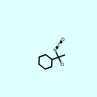 CC(Cl)(N=C=O)C1CCCCC1